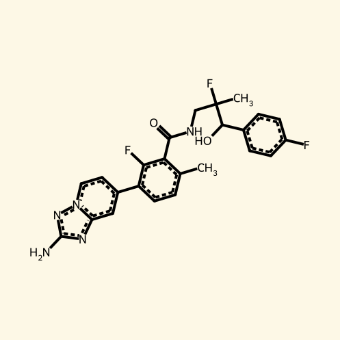 Cc1ccc(-c2ccn3nc(N)nc3c2)c(F)c1C(=O)NCC(C)(F)C(O)c1ccc(F)cc1